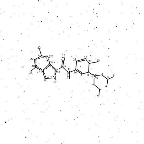 CCCN(CC(C)C)C1C=C(NC(=O)c2ncn3c(C)cc(C)nc23)C=CC1C